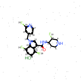 Cl.O=C(NC1CCNC[C@@H]1F)c1cn(Cc2ccnc(F)c2)c2c(F)ccc(F)c12